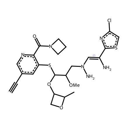 C#Cc1cnc(C(=O)N2CCC2)c(SC(OC2COC2C)C(CN(N)/C=C(\N)c2nc(Cl)cs2)OC)c1